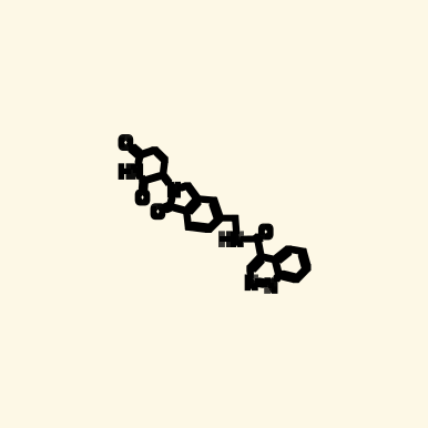 O=C1CCC(N2Cc3cc(CNC(=O)c4cnnc5ccccc45)ccc3C2=O)C(=O)N1